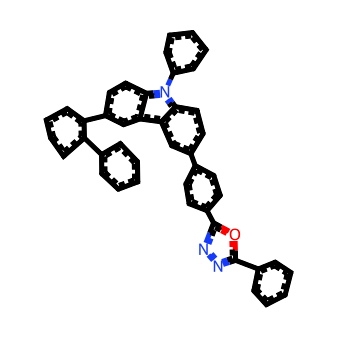 c1ccc(-c2nnc(-c3ccc(-c4ccc5c(c4)c4cc(-c6ccccc6-c6ccccc6)ccc4n5-c4ccccc4)cc3)o2)cc1